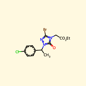 CCOC(=O)Cn1c(Br)nn(C(C)c2ccc(Cl)cc2)c1=O